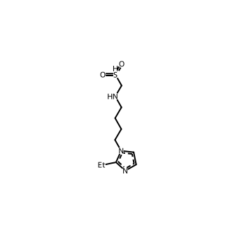 CCc1nccn1CCCCNC[SH](=O)=O